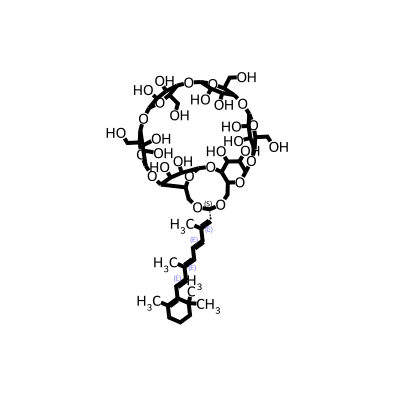 CC1=C(/C=C/C(C)=C/C=C/C(C)=C/[C@@H]2OCC3OC4OC5C(CO2)OC(OC2C(CO)OC(OC6C(CO)OC(OC7C(CO)OC(OC8C(CO)OC(OC3C(O)C4O)C(O)C8O)C(O)C7O)C(O)C6O)C(O)C2O)C(O)C5O)C(C)(C)CCC1